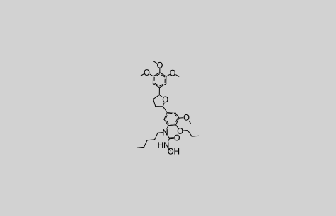 CCCCCN(C(=O)NO)c1cc(C2CCC(c3cc(OC)c(OC)c(OC)c3)O2)cc(OC)c1OCCC